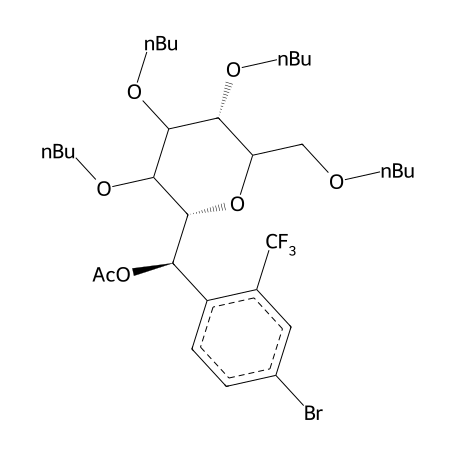 CCCCOCC1O[C@H]([C@H](OC(C)=O)c2ccc(Br)cc2C(F)(F)F)C(OCCCC)C(OCCCC)[C@@H]1OCCCC